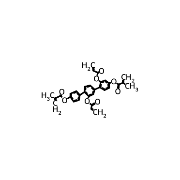 C=CC(=O)Oc1cc(OC(=O)C(=C)C)ccc1-c1ccc(-c2ccc(OC(=O)C(=C)C)cc2)c(OC(=O)C=C)c1